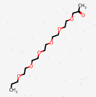 CCCOCCOCCOCCOCCOCCOCC(C)=O